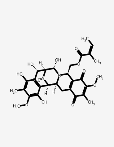 C/C=C(/C)C(=O)OC[C@H]1C2=C(C[C@H]3[C@H]4c5c(O)c(OC)c(C)c(O)c5[C@H](O)[C@@H]([C@H](O)N13)N4C)C(=O)C(C)=C(OC)C2=O